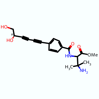 COC(=O)C(NC(=O)c1ccc(C#CC#C[C@@H](O)CO)cc1)C(C)(C)N